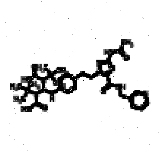 CC(=O)Nc1nc(CCc2ccc(NC(N(C(=O)O)C(C)(C)C)N(C(=O)O)C(C)(C)C)cc2)c(C(=O)NCc2cccnc2)s1